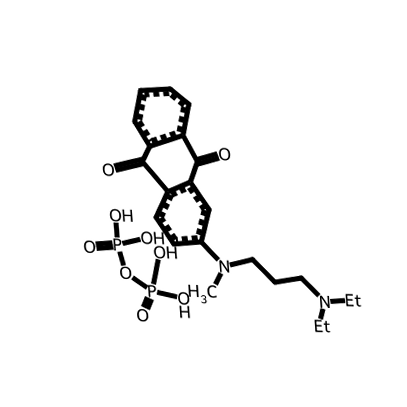 CCN(CC)CCCN(C)c1ccc2c(c1)C(=O)c1ccccc1C2=O.O=P(O)(O)OP(=O)(O)O